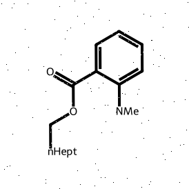 CCCCCCCCOC(=O)c1ccccc1NC